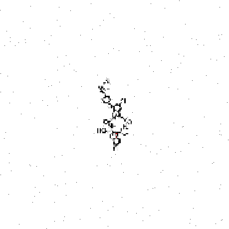 C[C@@H]1CC(=O)N(Cc2c(F)cc(Cl)cc2Oc2ccc(-c3cnc(CN(C)C)n3C)cc2)[C@@H](C)C(=O)N[C@@H](CO)C(=O)N(C)[C@@]2(Cc3ccc(Cl)cc3)CCCN(C2)C1=O